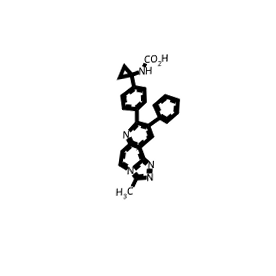 Cc1nnc2c3cc(-c4ccccc4)c(-c4ccc(C5(NC(=O)O)CC5)cc4)nc3ccn12